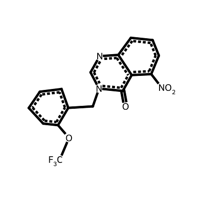 O=c1c2c([N+](=O)[O-])cccc2ncn1Cc1ccccc1OC(F)(F)F